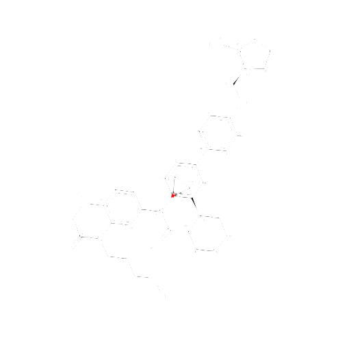 COCCCN1C(=O)COc2ccc(N(C(=O)[C@H]3CNCC[C@@H]3c3cccc(-c4ccc(OC[C@@H]5CCCN5C)cc4)c3)C3CC3)cc21